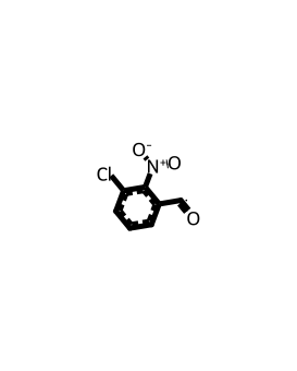 O=[C]c1cccc(Cl)c1[N+](=O)[O-]